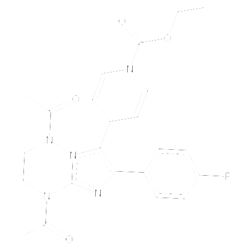 CCOC(=O)N1C=CC(c2c(-c3ccc(F)cc3)nc3n2N(C(C)=O)CCN3C(C)=O)C=C1